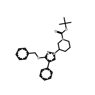 CC(C)(C)OC(=O)N1CCCC(n2cc(-c3ccccc3)c(OCc3ccccc3)n2)C1